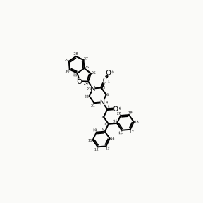 O=C=C1CN(C(=O)CC(c2ccccc2)c2ccccc2)CCN1c1cc2ccccc2o1